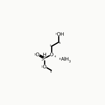 CO[PH](=O)OCCO.[AlH3]